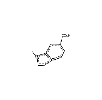 Cn1ccc2ccc(C(=O)O)cc21